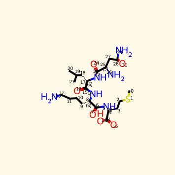 CSCC[C@H](NC(=O)[C@H](CCCCN)NC(=O)[C@H](CC(C)C)NC(=O)[C@@H](N)CC(N)=O)C(=O)O